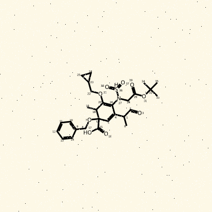 CC(C=O)C1=CC(OCc2ccccc2)(C(=O)O)C(C)C(OCC2CC2)=C1N(CC(=O)OC(C)(C)C)[SH](=O)=O